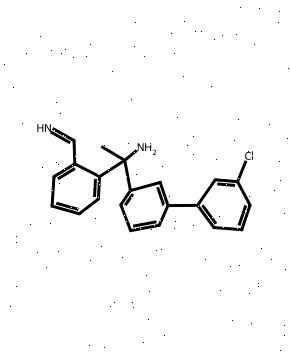 CC(N)(c1cccc(-c2cccc(Cl)c2)c1)c1ccccc1C=N